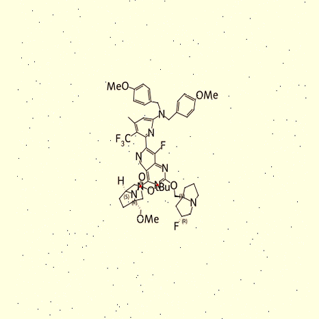 COC[C@@]12CC[C@@H](CN(c3nc(OC[C@@]45CCCN4C[C@H](F)C5)nc4c(F)c(-c5nc(N(Cc6ccc(OC)cc6)Cc6ccc(OC)cc6)cc(C)c5C(F)(F)F)ncc34)C1)N2C(=O)OC(C)(C)C